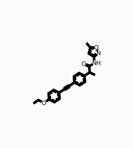 CCOc1ccc(C#Cc2ccc(C(C)C(=O)Nc3cc(C)on3)cc2)cc1